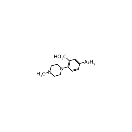 CN1CCN(c2ccc([AsH2])cc2C(=O)O)CC1